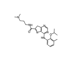 Cc1cccc(Nc2ncnc3c2N=C(C(=O)NCCCN(C)C)C3)c1OC(C)C